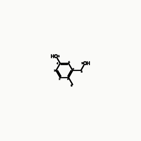 Cc1ccc(O)cc1CO